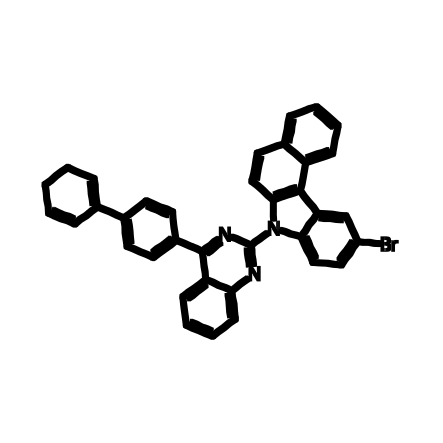 Brc1ccc2c(c1)c1c3ccccc3ccc1n2-c1nc(-c2ccc(C3=CCCC=C3)cc2)c2ccccc2n1